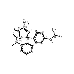 CCC(C)c1ccccc1[C@@]1(c2ccc(OC(F)F)cc2)N=C(N)N(C)C1=O